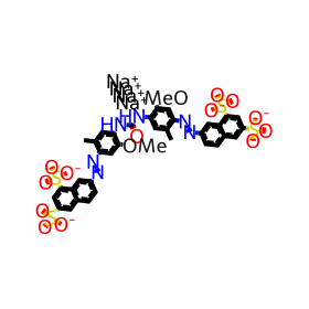 COc1cc(N=Nc2ccc3cc(S(=O)(=O)[O-])cc(S(=O)(=O)[O-])c3c2)c(C)cc1NC(=O)Nc1cc(C)c(N=Nc2ccc3cc(S(=O)(=O)[O-])cc(S(=O)(=O)[O-])c3c2)cc1OC.[Na+].[Na+].[Na+].[Na+]